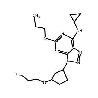 CCCSc1nc(NC2CC2)c2nnn(C3CCC(OCCO)C3)c2n1